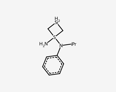 CC(C)N(c1ccccc1)S1(N)C[SiH2]C1